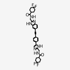 O=C(NCc1ncc(-c2ccc(C#Cc3ccc4nc(CNC(=O)C5CCC(F)(F)CC5)[nH]c4c3)cc2)[nH]1)C1CCC(F)(F)CC1